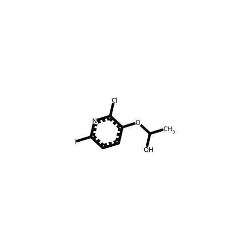 CC(O)Oc1ccc(I)nc1Cl